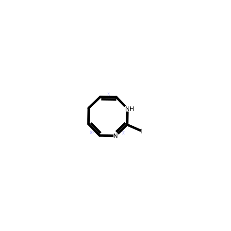 I/C1=N/C=C\C/C=C\N1